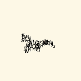 C[C@H]1CC2CC(S(=O)(=O)c3cc(C(=O)Nc4ccc(F)c(F)c4)c(-c4cccnc4)cc3Cl)CC1[C@]2(C)O